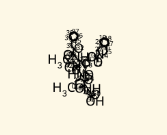 CC/C=C(/NC(=O)[C@@H]1C[C@@H](OC(=O)N2CCc3ccccc3C2)CN1C(=O)[C@@H](NC(=O)C(=O)Cc1ccccc1)C(C)C)C(=O)C(=O)NCC(=O)O